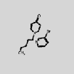 Brc1cccnc1.CCCCCN1C=CC(=O)CC1